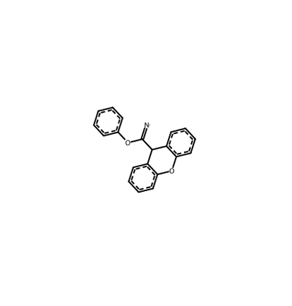 [N]=C(Oc1ccccc1)C1c2ccccc2Oc2ccccc21